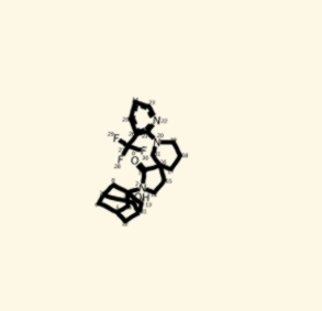 O=C1N(C23CC4CC(C2)C(O)C(C4)C3)CCC12CCCN(c1ncccc1C(F)(F)F)C2